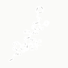 C=CCNC(=O)C(=O)C(CCC)NC(=O)[C@@H]1[C@@H]2[C@H](CN1C(=O)[C@@H](NC(=O)N[C@H](C(=O)OCc1ccccc1)C1CCC1)C(C)(C)C)C2(C)C